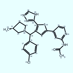 CC(=O)Nc1cc(-c2cc(C(c3ccc(Cl)cc3)N3CC[C@H](C)C3)c(-c3nnc[nH]3)s2)ccn1